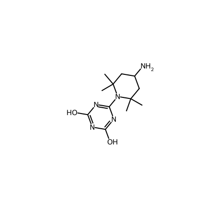 CC1(C)CC(N)CC(C)(C)N1c1nc(O)nc(O)n1